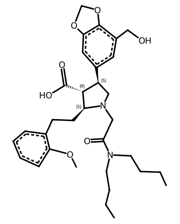 CCCCN(CCCC)C(=O)CN1C[C@H](c2cc(CO)c3c(c2)OCO3)[C@@H](C(=O)O)[C@@H]1CCc1ccccc1OC